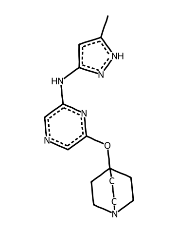 Cc1cc(Nc2cncc(OC34CCN(CC3)CC4)n2)n[nH]1